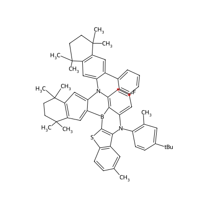 Cc1ccc2sc3c(c2c1)N(c1ccc(C(C)(C)C)cc1C)c1cc(F)cc2c1B3c1cc3c(cc1N2c1cc2c(cc1-c1ccccc1)C(C)(C)CCC2(C)C)C(C)(C)CCC3(C)C